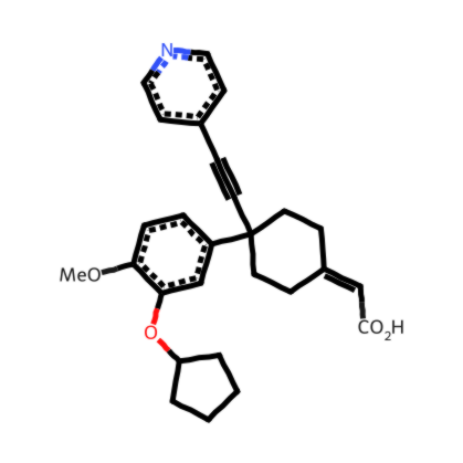 COc1ccc(C2(C#Cc3ccncc3)CCC(=CC(=O)O)CC2)cc1OC1CCCC1